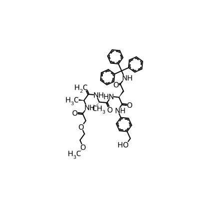 C=C(N[C@@H](C)C(=O)N[C@@H](CC(=O)NC(c1ccccc1)(c1ccccc1)c1ccccc1)C(=O)Nc1ccc(CO)cc1)[C@H](C)NC(=O)COCCOC